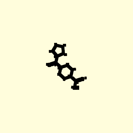 O=C(O)N1CCN(C(=O)C2CCCC2)CC1